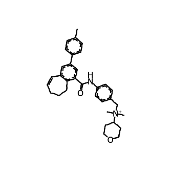 Cc1ccc(-c2cc3c(c(C(=O)Nc4ccc(C[N+](C)(C)C5CCOCC5)cc4)c2)CCCC=C3)cc1